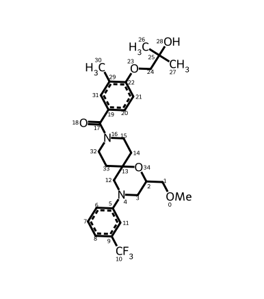 COCC1CN(c2cccc(C(F)(F)F)c2)CC2(CCN(C(=O)c3ccc(OCC(C)(C)O)c(C)c3)CC2)O1